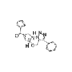 O=C(c1cccs1)N1C[C@@H]2[C@@H](C1)OCc1c(-c3ccccc3)nnn12